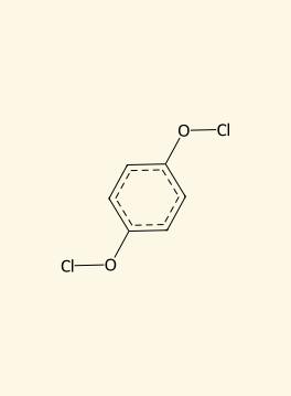 ClOc1ccc(OCl)cc1